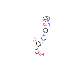 CCOc1cc(CN2CCN(c3ccc(C(=O)N(C)CC45CC6CC(CC(C6)C4)C5)cc3)CC2)cc(-c2cccc(O)c2)c1